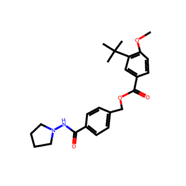 COc1ccc(C(=O)OCc2ccc(C(=O)NN3CCCC3)cc2)cc1C(C)(C)C